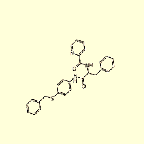 O=C(NC(Cc1ccccc1)C(=O)Nc1ccc(SCc2ccccc2)cc1)c1ccccn1